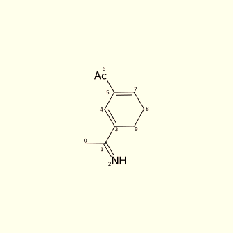 CC(=N)C1=CC(C(C)=O)=CCC1